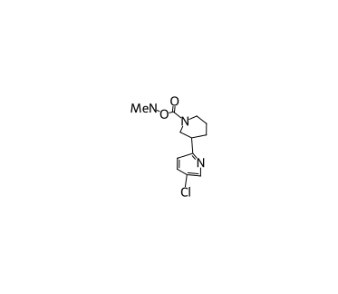 CNOC(=O)N1CCCC(c2ccc(Cl)cn2)C1